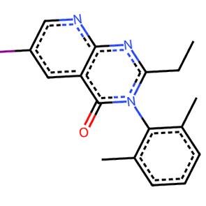 CCc1nc2ncc(I)cc2c(=O)n1-c1c(C)cccc1C